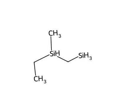 CC[SiH](C)C[SiH3]